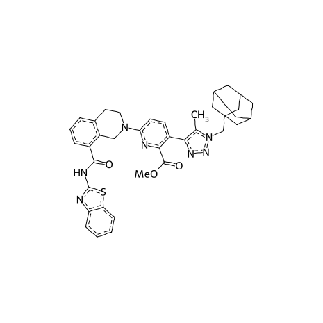 COC(=O)c1nc(N2CCc3cccc(C(=O)Nc4nc5ccccc5s4)c3C2)ccc1-c1nnn(CC23CC4CC(CC(C4)C2)C3)c1C